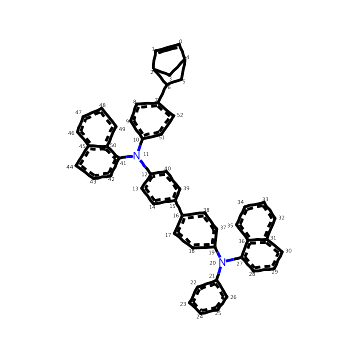 C1=CC2CC1CC2c1ccc(N(c2ccc(-c3ccc(N(c4ccccc4)c4cccc5ccccc45)cc3)cc2)c2cccc3ccccc23)cc1